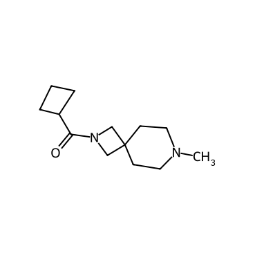 CN1CCC2(CC1)CN(C(=O)C1CCC1)C2